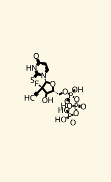 C#C[C@@]1(F)C(O)[C@@H](COP(=O)(O)OP(=O)(O)OP(=O)(O)O)O[C@H]1n1ccc(=O)[nH]c1=S